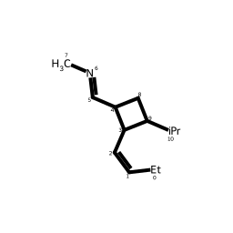 CC/C=C\C1C(/C=N/C)CC1C(C)C